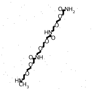 CNCCOCCOCC(=O)NCCOCCOCC(=O)NCCOCCOCC(N)=O